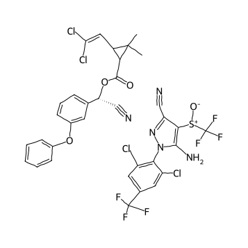 CC1(C)C(C=C(Cl)Cl)C1C(=O)O[C@H](C#N)c1cccc(Oc2ccccc2)c1.N#Cc1nn(-c2c(Cl)cc(C(F)(F)F)cc2Cl)c(N)c1[S+]([O-])C(F)(F)F